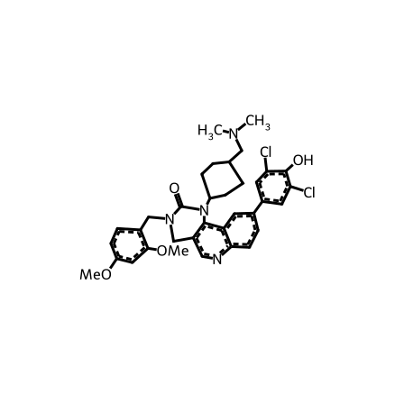 COc1ccc(CN2Cc3cnc4ccc(-c5cc(Cl)c(O)c(Cl)c5)cc4c3N(C3CCC(CN(C)C)CC3)C2=O)c(OC)c1